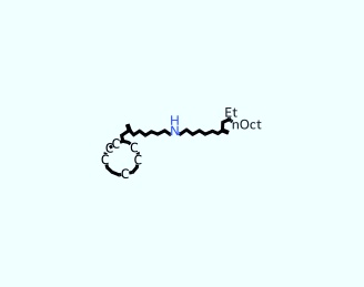 C=C(CCCCCCCNCCCCCCCC(=C)CC1CCCCCCCCCCCCCC1)CC(CC)CCCCCCCC